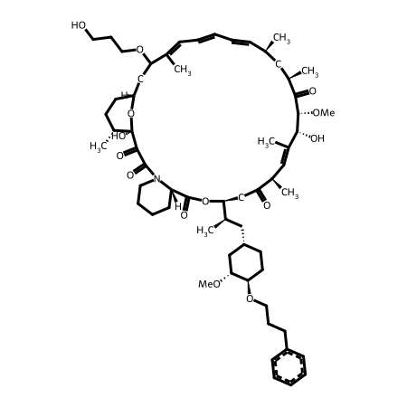 CO[C@@H]1C[C@H](C[C@@H](C)[C@@H]2CC(=O)[C@H](C)/C=C(\C)[C@@H](O)[C@@H](OC)C(=O)[C@H](C)C[C@H](C)/C=C/C=C/C=C(\C)C(OCCCO)C[C@@H]3CC[C@@H](C)[C@@](O)(O3)C(=O)C(=O)N3CCCC[C@H]3C(=O)O2)CC[C@H]1OCCCc1ccccc1